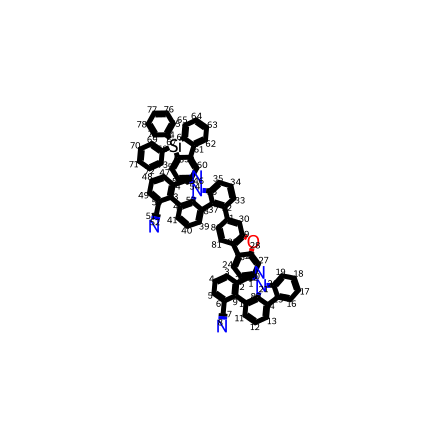 N#Cc1cccc(C#N)c1-c1cccc2c3ccccc3n(-c3ccc4c(c3)oc3cc(-c5cccc6c5c5cccc(-c7c(C#N)cccc7C#N)c5n6-c5ccc6c(c5)-c5ccccc5[Si]6(c5ccccc5)c5ccccc5)ccc34)c12